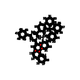 C1=CC2C(Sc3c(-c4ccc(-c5cccc6cccnc56)cc4)cccc3C2(c2ccccc2)c2ccccc2)C(C2=NC(c3ccccc3)=NC(c3ccccc3)N2)=C1